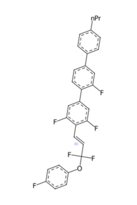 CCCc1ccc(-c2ccc(-c3cc(F)c(/C=C/C(F)(F)Oc4ccc(F)cc4)c(F)c3)c(F)c2)cc1